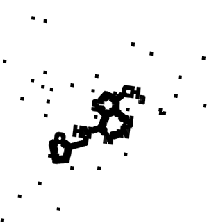 Cc1csc2c(NCc3ccco3)nnnc12